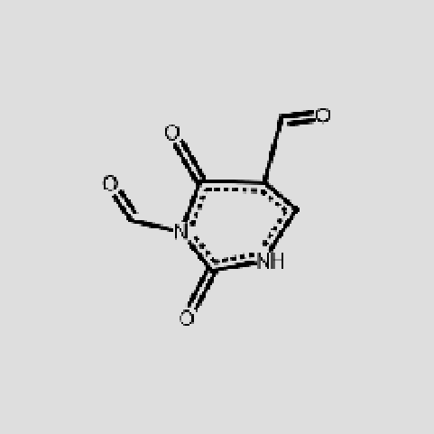 O=Cc1c[nH]c(=O)n(C=O)c1=O